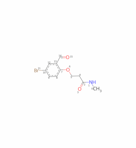 CNC(=O)CCOc1ccc(Br)cc1C=O